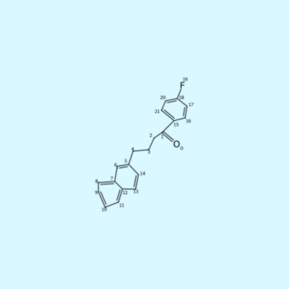 O=C(CCCc1[c]c2ccccc2cc1)c1ccc(F)cc1